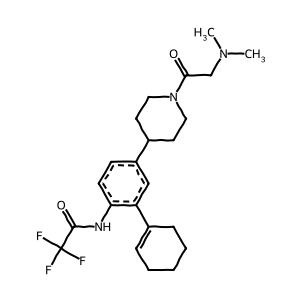 CN(C)CC(=O)N1CCC(c2ccc(NC(=O)C(F)(F)F)c(C3=CCCCC3)c2)CC1